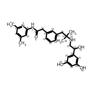 Cc1cc(C)nc(NC(=O)Cc2cccc(CC(C)(C)NCC(O)c3cc(O)cc(O)c3)c2)c1